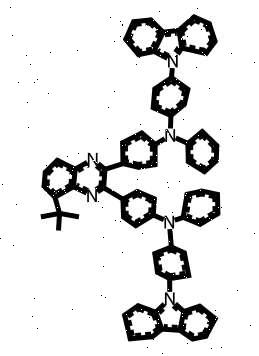 CC(C)(C)c1cccc2nc(-c3ccc(N(c4ccccc4)c4ccc(-n5c6ccccc6c6ccccc65)cc4)cc3)c(-c3ccc(N(c4ccccc4)c4ccc(-n5c6ccccc6c6ccccc65)cc4)cc3)nc12